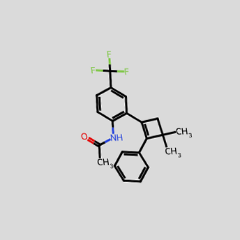 CC(=O)Nc1ccc(C(F)(F)F)cc1C1=C(c2ccccc2)C(C)(C)C1